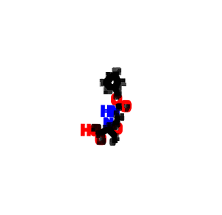 Cc1oc(CNC(=O)OCc2ccccc2)nc1C(=O)O